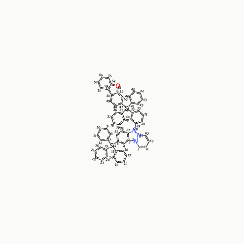 C1=CN2c3cc([Si](c4ccccc4)(c4ccccc4)c4ccccc4)ccc3N(c3cccc([Si](c4ccccc4)(c4ccccc4)c4ccc5c(c4)oc4ccccc45)c3)N2C=C1